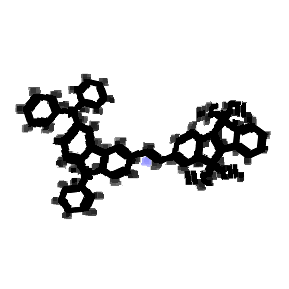 CC1(C)C2=C(c3ccccc31)C(C)(C)c1cc(/C=C/c3ccc4c(c3)c3cc(N(c5ccccc5)c5ccccc5)ccc3n4-c3ccccc3)ccc12